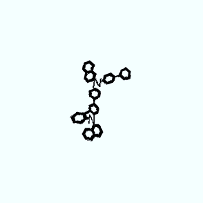 c1ccc(-c2ccc(N(c3ccc(-c4ccc5c(c4)c4ccccc4n5-c4cccc5ccccc45)cc3)c3ccc4ccccc4c3)cc2)cc1